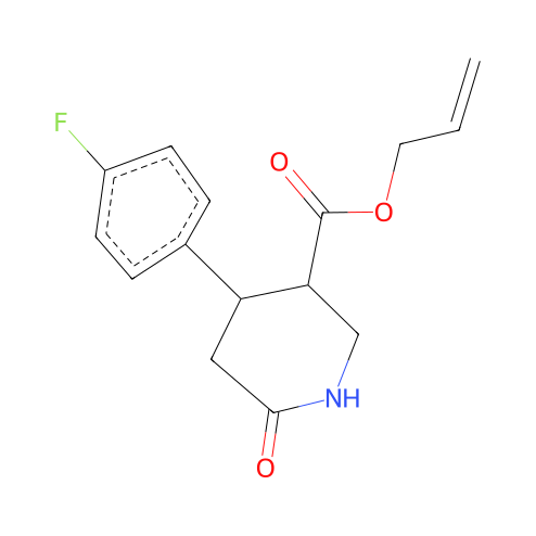 C=CCOC(=O)C1CNC(=O)CC1c1ccc(F)cc1